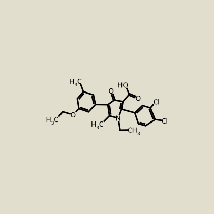 CCOc1cc(C)cc(-c2c(C)n(CC)c(-c3ccc(Cl)c(Cl)c3)c(C(=O)O)c2=O)c1